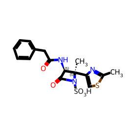 Cc1nc([C@]2(C)[C@H](NC(=O)Cc3ccccc3)C(=O)N2S(=O)(=O)O)cs1